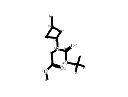 COC(=O)CN(C(=O)OC(C)(C)C)C1CC(C)C1